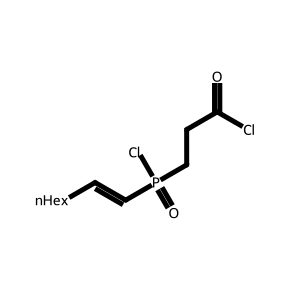 CCCCCCC=CP(=O)(Cl)CCC(=O)Cl